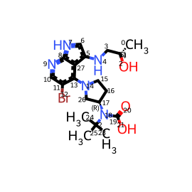 C[C@H](O)CNc1c[nH]c2ncc(Br)c(N3CC[C@@H](N(C(=O)O)C(C)(C)C)C3)c12